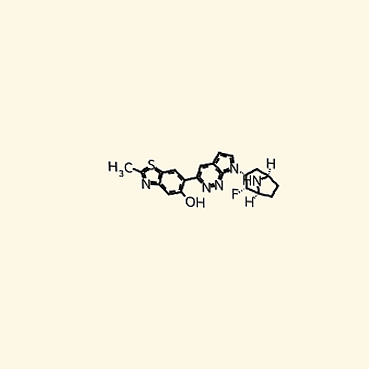 Cc1nc2cc(O)c(-c3cc4ccn([C@@H]5C[C@H]6CC[C@H](N6)[C@@H]5F)c4nn3)cc2s1